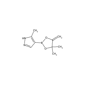 C=C1OB(c2cn[nH]c2C)OC1(C)C